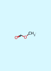 [CH2]O[C]=O